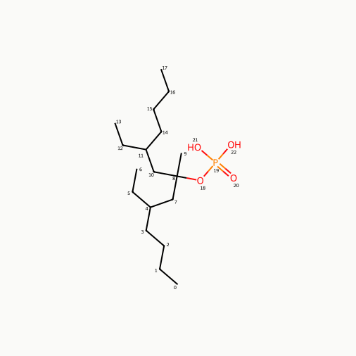 CCCCC(CC)CC(C)(CC(CC)CCCC)OP(=O)(O)O